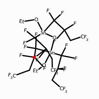 CC[O][Sn]([O][Sn]([O]CC)([C](F)(F)C(F)(F)CC(F)(F)F)[C](F)(F)C(F)(F)CC(F)(F)F)([C](F)(F)C(F)(F)CC(F)(F)F)[C](F)(F)C(F)(F)CC(F)(F)F